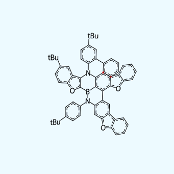 CC(C)(C)c1ccc(N2B3c4oc5ccc(C(C)(C)C)cc5c4N(c4ccc(C(C)(C)C)cc4-c4ccccc4)c4cc5c(oc6ccccc65)c(c43)-c3cc4c(cc32)oc2ccccc24)cc1